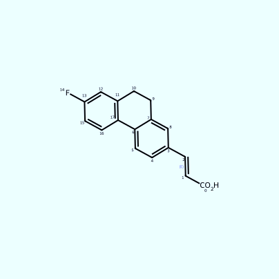 O=C(O)/C=C/c1ccc2c(c1)CCc1cc(F)ccc1-2